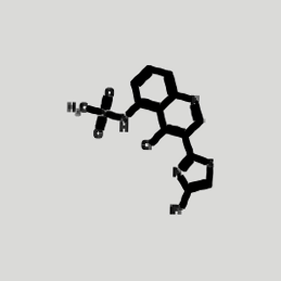 CC(C)c1csc(-c2[c]nc3cccc(NS(C)(=O)=O)c3c2Cl)n1